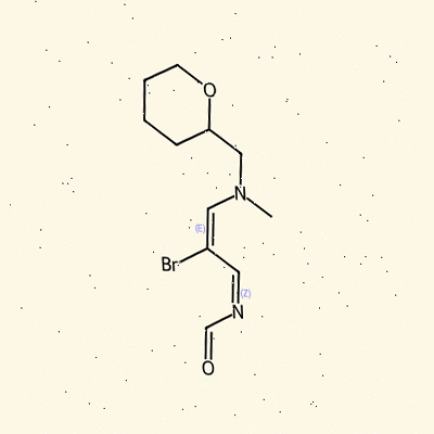 CN(/C=C(Br)\C=N/C=O)CC1CCCCO1